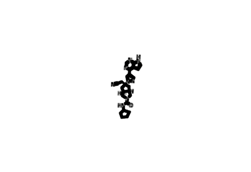 N#CC[C@]1(n2cc(-c3ncnc4[nH]ccc34)cn2)C[C@H]2CN(C(=O)NC3CCCC3)C[C@H]2C1